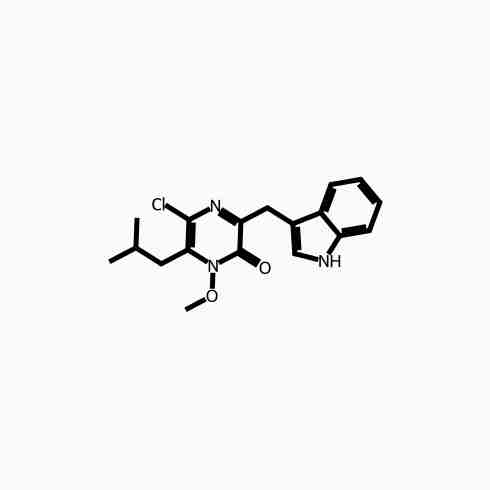 COn1c(CC(C)C)c(Cl)nc(Cc2c[nH]c3ccccc23)c1=O